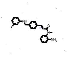 CN(C(=O)/C=C/c1ccc(CNc2cccc(F)c2)cc1)c1ccccc1N